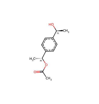 CC(=O)O[C@H](C)c1ccc([C@H](C)O)cc1